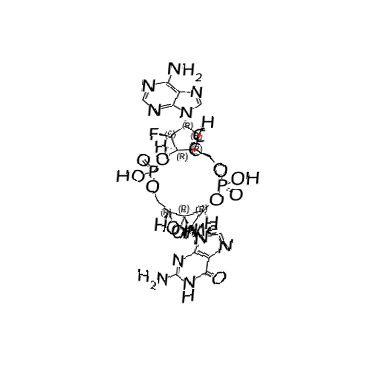 CO[C@H]1[C@H]2OP(=O)(O)OC[C@@]34CC[C@@H]3[C@@H](n3cnc5c(N)ncnc53)[C@H](F)[C@@H]4OP(=O)(O)OC[C@H]1O[C@H]2n1cnc2c(=O)[nH]c(N)nc21